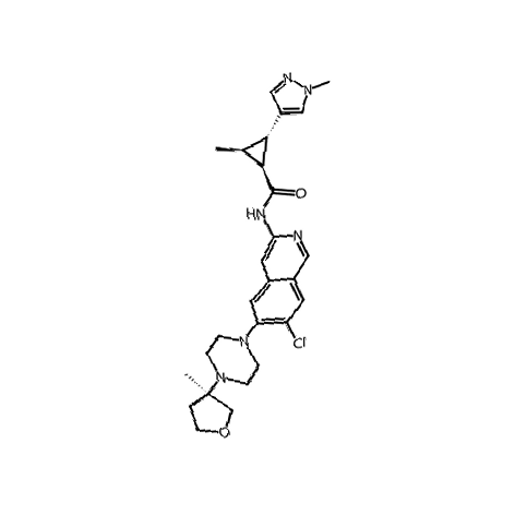 C[C@@H]1[C@H](C(=O)Nc2cc3cc(N4CCN([C@]5(C)CCOC5)CC4)c(Cl)cc3cn2)[C@H]1c1cnn(C)c1